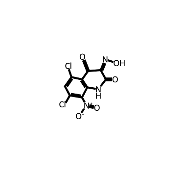 O=C1Nc2c(c(Cl)cc(Cl)c2[N+](=O)[O-])C(=O)/C1=N/O